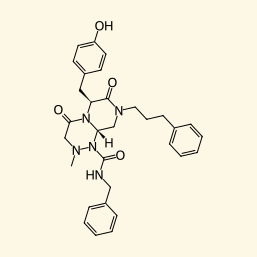 CN1CC(=O)N2[C@@H](Cc3ccc(O)cc3)C(=O)N(CCCc3ccccc3)C[C@@H]2N1C(=O)NCc1ccccc1